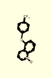 [O-][n+]1cccc2c(Oc3ccc(C(F)(F)F)cc3)cccc21